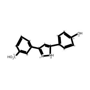 O=C(O)c1cccc(-c2cc(-c3ccc(O)cc3)[nH]n2)c1